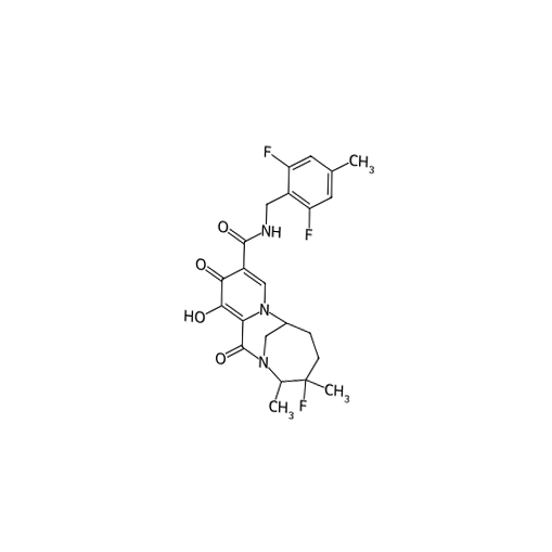 Cc1cc(F)c(CNC(=O)c2cn3c(c(O)c2=O)C(=O)N2CC3CCC(C)(F)C2C)c(F)c1